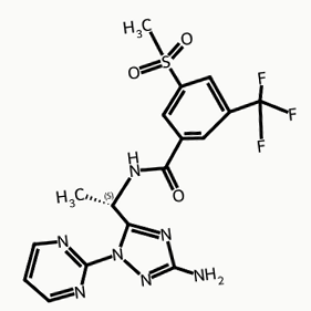 C[C@H](NC(=O)c1cc(C(F)(F)F)cc(S(C)(=O)=O)c1)c1nc(N)nn1-c1ncccn1